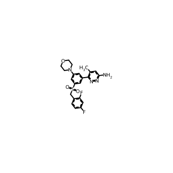 Cc1cc(N)nnc1-c1cc(N2CCOCC2)cc(S(=O)(=O)Cc2ccc(F)cc2F)c1